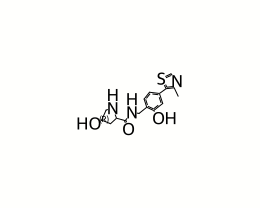 Cc1ncsc1-c1ccc(CNC(=O)C2C[C@@H](O)CN2)c(O)c1